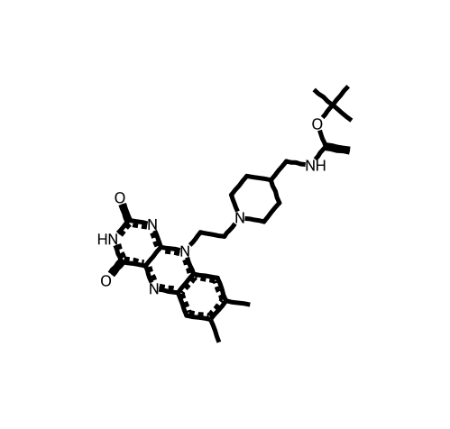 C=C(NCC1CCN(CCn2c3nc(=O)[nH]c(=O)c-3nc3cc(C)c(C)cc32)CC1)OC(C)(C)C